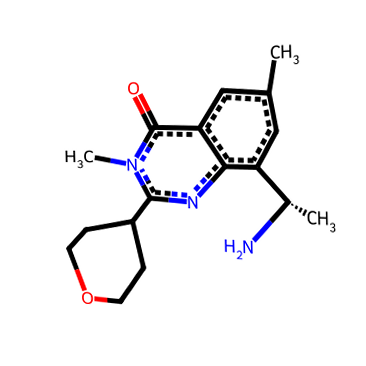 Cc1cc([C@H](C)N)c2nc(C3CCOCC3)n(C)c(=O)c2c1